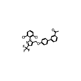 CC(=O)c1cccc(-c2ccc(OCc3cc(C(F)(F)F)nn3-c3c(Cl)cccc3Cl)cc2)c1